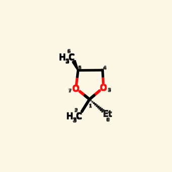 CC[C@@]1(C)OC[C@H](C)O1